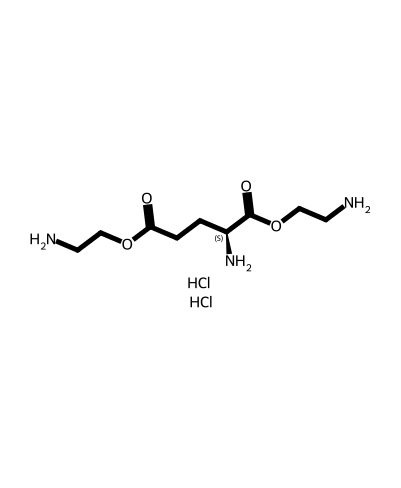 Cl.Cl.NCCOC(=O)CC[C@H](N)C(=O)OCCN